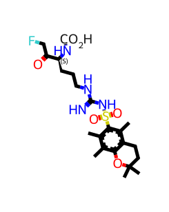 Cc1c(C)c(S(=O)(=O)NC(=N)NCCC[C@H](NC(=O)O)C(=O)CF)c(C)c2c1OC(C)(C)CC2